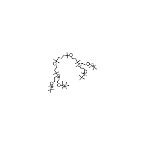 CC(C)(CCCC(C)(C)OCCC(C)(C)[Si](C)(CCO[Si](C)(C)C(C)(C)C)CCO[Si](C)(C)C(C)(C)C)OCCC(C)(C)[Si](C)(CCO[Si](C)(C)C(C)(C)C)CCO[Si](C)(C)C(C)(C)C